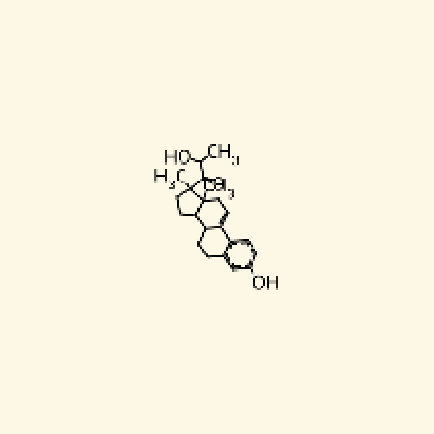 CC(O)C(=O)C1(C)CCC2C3CCc4cc(O)ccc4C3=CCC21C